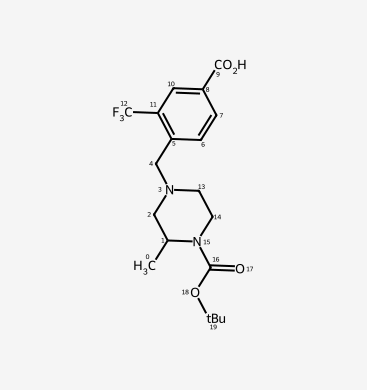 CC1CN(Cc2ccc(C(=O)O)cc2C(F)(F)F)CCN1C(=O)OC(C)(C)C